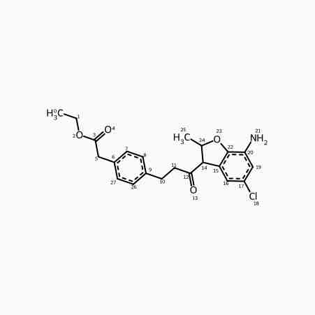 CCOC(=O)Cc1ccc(CCC(=O)C2c3cc(Cl)cc(N)c3OC2C)cc1